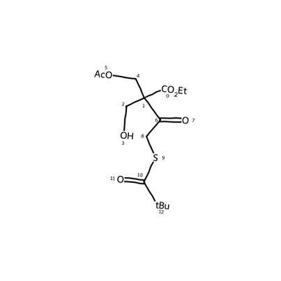 CCOC(=O)C(CO)(COC(C)=O)C(=O)CSC(=O)C(C)(C)C